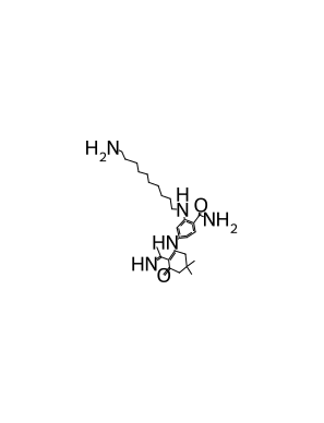 CC(=N)C1=C(Nc2ccc(C(N)=O)c(NCCCCCCCCCCN)c2)CC(C)(C)CC1=O